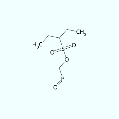 CCC(CC)S(=O)(=O)OCP=O